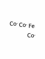 [Co].[Co].[Co].[Fe]